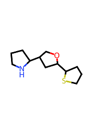 C1CNC(C2COC(C3CCCS3)C2)C1